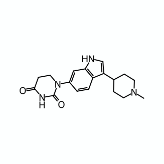 CN1CCC(c2c[nH]c3cc(N4CCC(=O)NC4=O)ccc23)CC1